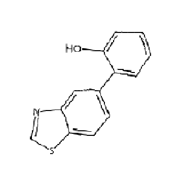 Oc1ccccc1-c1ccc2scnc2c1